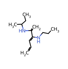 C=C/C=C(\NCCC)C(=C)NC(C)CC